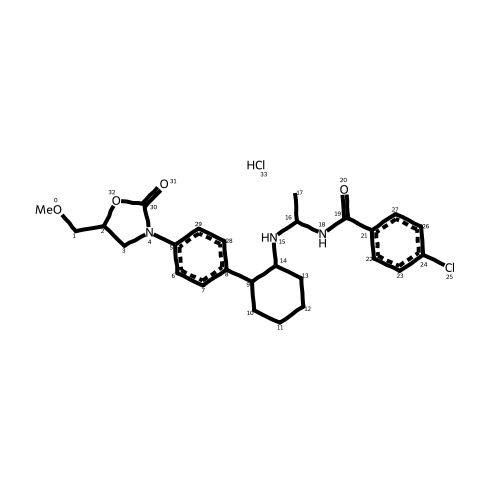 COCC1CN(c2ccc(C3CCCCC3NC(C)NC(=O)c3ccc(Cl)cc3)cc2)C(=O)O1.Cl